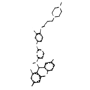 Cc1cc(C)c(C(c2cc(Cl)ccc2C)N(C(=O)O)c2ccnc(Nc3ccc(OCCCN4CCN(C)CC4)c(F)c3)n2)c(C)c1